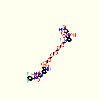 O=C1CCC(N2C(=O)c3c(NCCOCCOCCOCCOCCOCCOS(=O)(=O)c4cc5cc(N6CCC(O)(C(=O)NCc7cc(F)cc(F)c7)C6=O)ccc5[nH]4)cccc3C2O)C(=O)N1